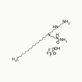 CCCCCCCCCCCCCCCCCCN(CCCCNCCCN)CCCNC(N)=O.O=C(OO)C(F)(F)F